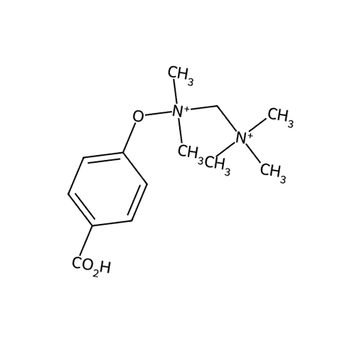 C[N+](C)(C)C[N+](C)(C)Oc1ccc(C(=O)O)cc1